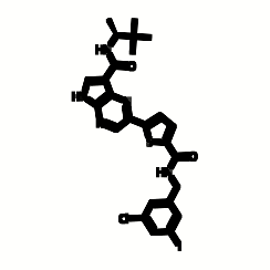 C[C@H](NC(=O)c1c[nH]c2ncc(-c3ccc(C(=O)NCc4cc(Cl)cc(I)c4)s3)nc12)C(C)(C)C